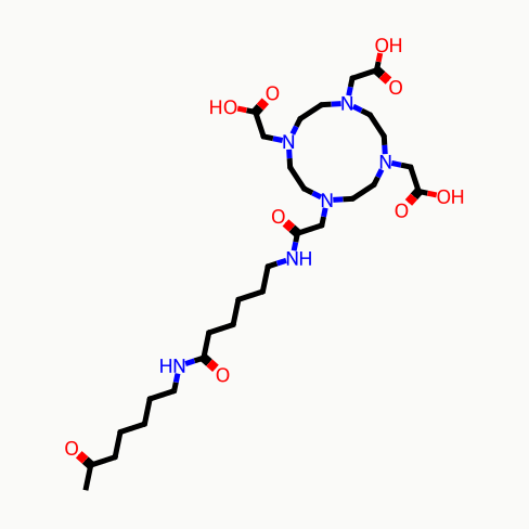 CC(=O)CCCCCNC(=O)CCCCCNC(=O)CN1CCN(CC(=O)O)CCN(CC(=O)O)CCN(CC(=O)O)CC1